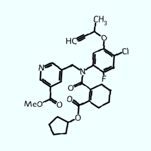 C#CC(C)Oc1cc(N(Cc2cncc(C(=O)OC)c2)C(=O)C2=C(C(=O)OC3CCCC3)CCCC2)c(F)cc1Cl